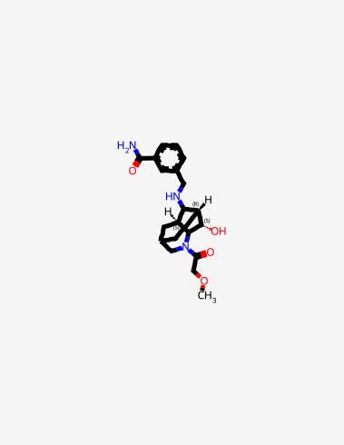 COCC(=O)N1CC2C[C@H]3C(NCc4cccc(C(N)=O)c4)[C@@H](C2)[C@H](O)C31